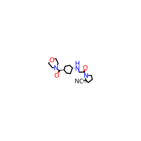 N#C[C@@H]1CCCN1C(=O)CN[C@H]1CC[C@H](C(=O)N2CCOCC2)CC1